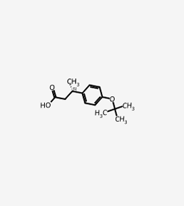 C[C@@H](CC(=O)O)c1ccc(OC(C)(C)C)cc1